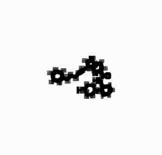 O=C(Nc1ccccc1N1CCNCC1)c1ccn2ncc(C#CCCCc3ccccc3)c2n1